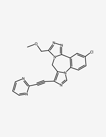 COCc1nnc2n1Cc1c(C#Cc3ncccn3)ncn1-c1ccc(Cl)cc1-2